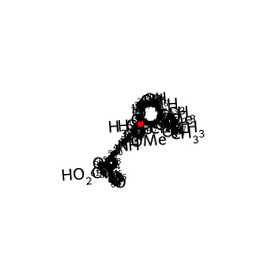 CO[C@@H]1C[C@H](O[C@H]2[C@H](C)[C@@H](O[C@@H]3O[C@H](C)C[C@H](N(C)C)[C@H]3O)[C@](C)(OC)C[C@@H](C)C(=O)[C@@H](O)[C@@]3(O)CC[C@H]3OC(=O)[C@@H]2C)O[C@@H](C)[C@@H]1OCCNCCCc1ccc2c(c1)c(=O)c(C(=O)O)cn2N1CCOCC1